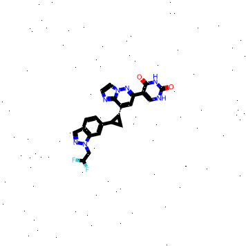 O=c1[nH]cc(-c2cc([C@@H]3CC3c3ccc4cnn(CC(F)F)c4c3)c3nccn3n2)c(=O)[nH]1